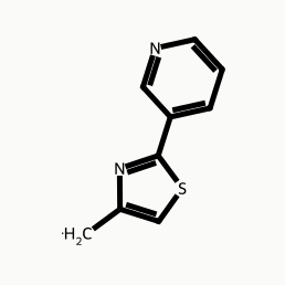 [CH2]c1csc(-c2cccnc2)n1